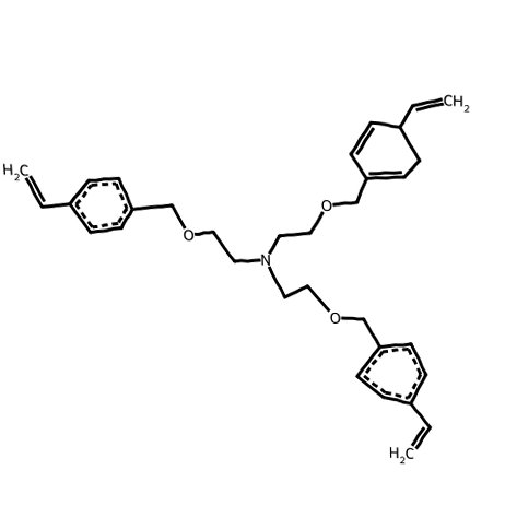 C=Cc1ccc(COCCN(CCOCC2=CCC(C=C)C=C2)CCOCc2ccc(C=C)cc2)cc1